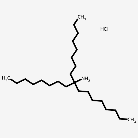 CCCCCCCCC(N)(CCCCCCCC)CCCCCCCC.Cl